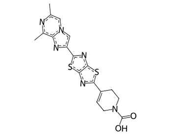 Cc1cn2cc(-c3nc4sc(C5=CCN(C(=O)O)CC5)nc4s3)nc2c(C)n1